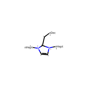 CCCCCCCCCCCC1N(CCCCCCC)C=CN1CCCCCCC